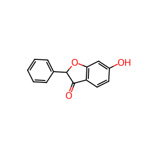 O=C1c2ccc(O)cc2OC1c1ccccc1